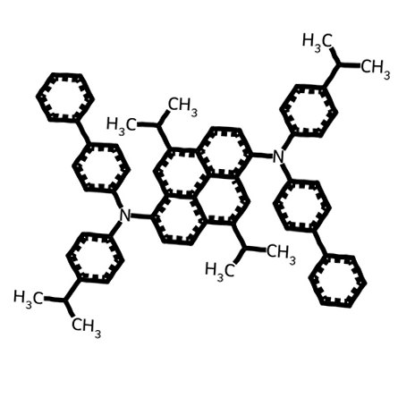 CC(C)c1ccc(N(c2ccc(-c3ccccc3)cc2)c2ccc3c(C(C)C)cc4c(N(c5ccc(-c6ccccc6)cc5)c5ccc(C(C)C)cc5)ccc5c(C(C)C)cc2c3c54)cc1